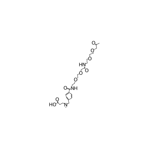 CC(=O)COCCOCCNC(=O)COCCOCCNC(=O)c1ccc(CN(C)CCC(=O)O)cc1